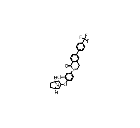 CN1[C@@H]2CC[C@H]1C[C@@H](Oc1ccc(N3CCc4cc(-c5ccc(C(F)(F)F)cc5)ccc4C3=O)cc1Cl)C2